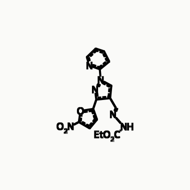 CCOC(=O)NN=Cc1cn(-c2ccccn2)nc1-c1ccc([N+](=O)[O-])o1